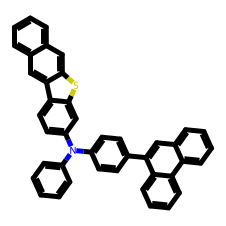 c1ccc(N(c2ccc(-c3cc4ccccc4c4ccccc34)cc2)c2ccc3c(c2)sc2cc4ccccc4cc23)cc1